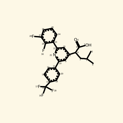 CC(C)CC(C(=O)O)c1cc(-c2ccc(C(F)(F)F)cc2)nc(-c2cccc(F)c2F)c1